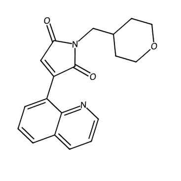 O=C1C=C(c2cccc3cccnc23)C(=O)N1CC1CCOCC1